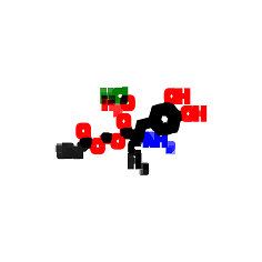 CC(C)(C)C(=O)OCOC(=O)[C@](C)(N)Cc1ccc(O)c(O)c1.Cl.O